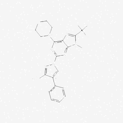 [2H]C([2H])([2H])c1nc2c(N3CCOCC3)nc(-n3cc(-c4ccccc4)c(OC)n3)nc2n1CC